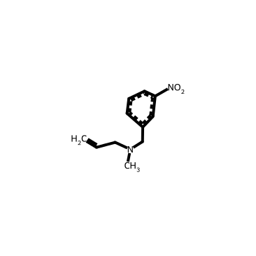 C=CCN(C)Cc1cccc([N+](=O)[O-])c1